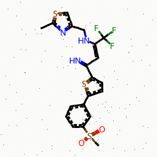 Cc1nc(CN/C(=C\C(=N)c2ccc(-c3cccc(S(C)(=O)=O)c3)s2)C(F)(F)F)cs1